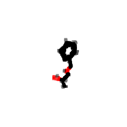 [CH2][C@@H](O)COCc1ccccc1